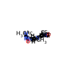 CC(=O)N(C)c1cnn(C(=O)N2C[C@H]3C[C@H](N(C)Cc4ccc(N5C6CCC5COC6)c(C(F)(F)F)c4)C[C@H]3C2)c1